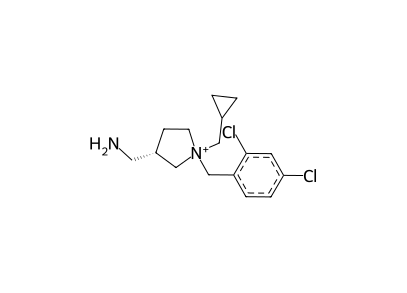 NC[C@@H]1CC[N+](Cc2ccc(Cl)cc2Cl)(CC2CC2)C1